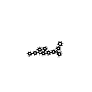 c1ccc(-c2ccc(C(Cc3ccc(-c4ccc(-c5ccc(N(c6ccccc6)c6ccc(-c7ccccc7)cc6)cc5)cc4)c(-c4ccccc4)c3)c3ccccc3)cc2)cc1